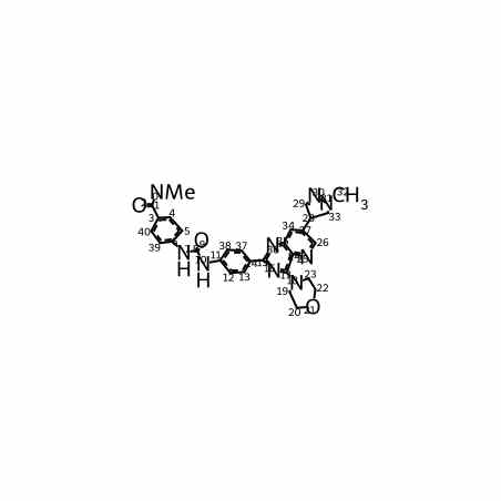 CNC(=O)c1ccc(NC(=O)Nc2ccc(-c3nc(N4CCOCC4)c4ncc(C5C=NN(C)C5)cc4n3)cc2)cc1